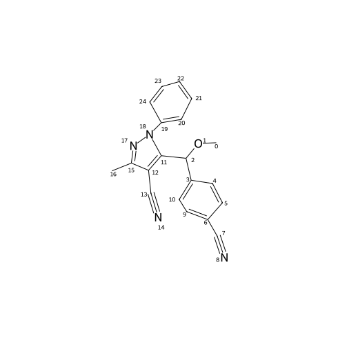 COC(c1ccc(C#N)cc1)c1c(C#N)c(C)nn1-c1ccccc1